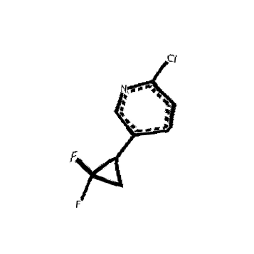 FC1(F)CC1c1ccc(Cl)nc1